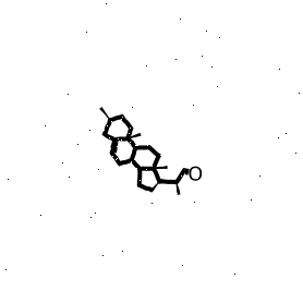 C[C@H]1CC[C@@]2(C)C(=CCC3C2CC[C@@]2(C)C3CC[C@@H]2[C@H](C)C=O)C1